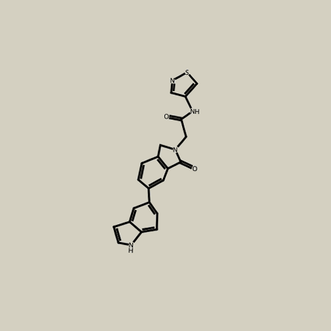 O=C(CN1Cc2ccc(-c3ccc4[nH]ccc4c3)cc2C1=O)Nc1cnsc1